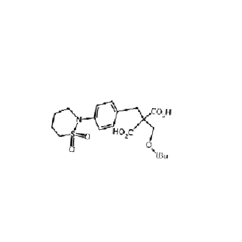 CC(C)(C)OCC(Cc1ccc(N2CCCCS2(=O)=O)cc1)(C(=O)O)C(=O)O